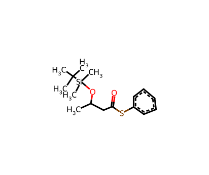 CC(CC(=O)Sc1ccccc1)O[Si](C)(C)C(C)(C)C